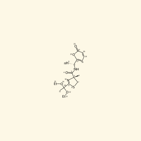 CCC[C@@H](NC(=O)[C@]1(C)CSC(C(C)(OCC)OCC)=N1)c1cccc(=O)o1